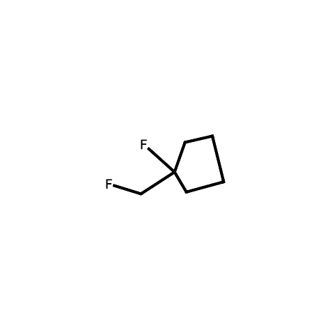 FCC1(F)CCCC1